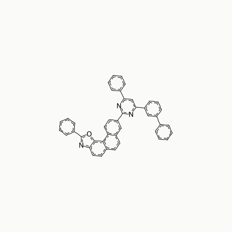 c1ccc(-c2cccc(-c3cc(-c4ccccc4)nc(-c4ccc5c(ccc6ccc7nc(-c8ccccc8)oc7c65)c4)n3)c2)cc1